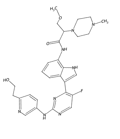 COCC(C(=O)Nc1cccc2c(-c3nc(Nc4ccc(CCO)nc4)ncc3F)c[nH]c12)N1CCN(C)CC1